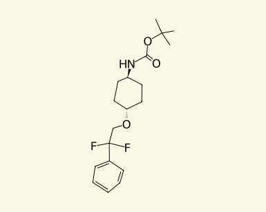 CC(C)(C)OC(=O)N[C@H]1CC[C@H](OCC(F)(F)c2ccccc2)CC1